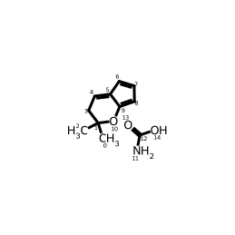 CC1(C)CC=C2C=CC=C2O1.NC(=O)O